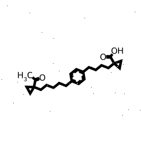 CC(=O)C1(CCCCCc2ccc(CCCCC3(C(=O)O)CC3)cc2)CC1